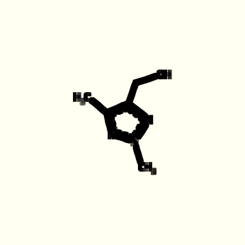 Cc1nn(C)nc1CO